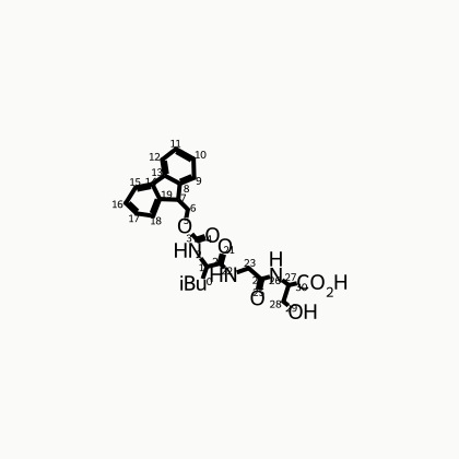 CCC(C)C(NC(=O)OCC1c2ccccc2-c2ccccc21)C(=O)NCC(=O)NC(CO)C(=O)O